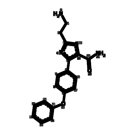 NCCc1nc(-c2ccc(Oc3ccccc3)cc2)c(C(N)=O)s1